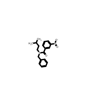 CC(C)CCN(Cc1ccccc1)C(=O)c1cccc([N+](=O)[O-])c1